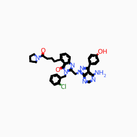 Nc1ncnc2c1c(-c1ccc(O)cc1)nn2Cc1nc2cccc(CCCC(=O)N3CCCC3)c2c(=O)n1Cc1ccccc1Cl